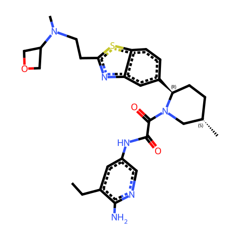 CCc1cc(NC(=O)C(=O)N2C[C@@H](C)CC[C@@H]2c2ccc3sc(CCN(C)C4COC4)nc3c2)cnc1N